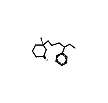 CCC(CCC[C@@]1(C)CCCC(=O)C1)c1ccccc1